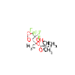 CCC(C)(C)C(=O)OC(C)C1OCOC(F)(F)C1(O)C(F)(F)F